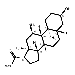 COC(=O)[C@H]1CC[C@H]2[C@@H]3CC[C@H]4C[C@H](O)CC[C@]4(C)[C@H]3[C@H](N)C[C@]12C